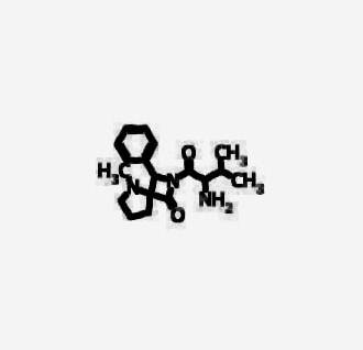 CC(C)C(N)C(=O)N1C(=O)C2(CCCN2C)C1c1ccccc1